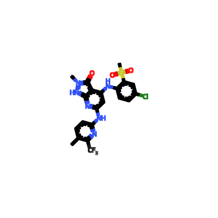 Cc1ccc(Nc2cc(Nc3ccc(Cl)cc3S(C)(=O)=O)c3c(=O)n(C)[nH]c3n2)nc1C(F)(F)F